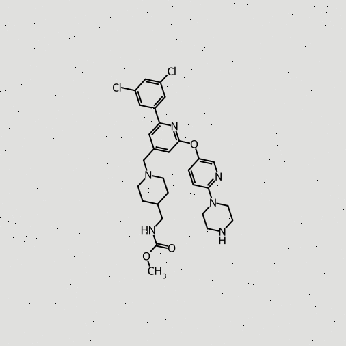 COC(=O)NCC1CCN(Cc2cc(Oc3ccc(N4CCNCC4)nc3)nc(-c3cc(Cl)cc(Cl)c3)c2)CC1